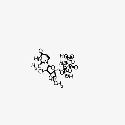 C=C1NC(=O)C=CN1[C@@H]1O[C@@](COP(=O)(O)OP(=O)(O)OP(=O)(O)O)(CSC)[C@@H](O)[C@H]1Cl